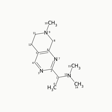 CC(c1ncc2c(n1)CN(C)CC2)N(C)C